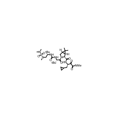 CNC(=O)C(=O)[C@@H](CC1CC1)NC(=O)[C@@H]1[C@@H]2[C@H](CN1C(=O)[C@@H](NC(=O)N[C@H](CN(C)S(=O)(=O)N(C)C)C(C)(C)C)C(C)(C)C)C2(C)C